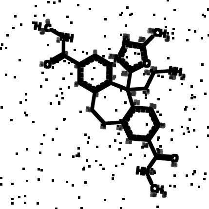 CNC(=O)c1ccc2c(c1)CCc1cc(C(=O)NC)ccc1C2(CCN)c1nnc(C)o1